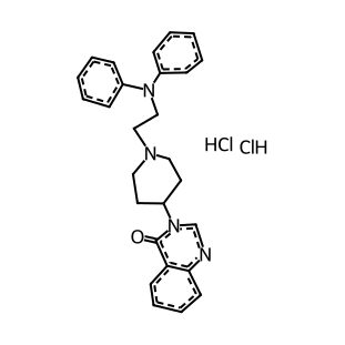 Cl.Cl.O=c1c2ccccc2ncn1C1CCN(CCN(c2ccccc2)c2ccccc2)CC1